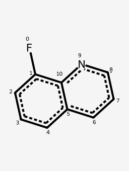 Fc1cccc2cc[c]nc12